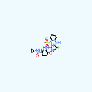 COc1ccc(C(=O)NC2CC2)cc1Nc1ncc(F)c(Nc2ccccc2NS(C)(=O)=O)n1